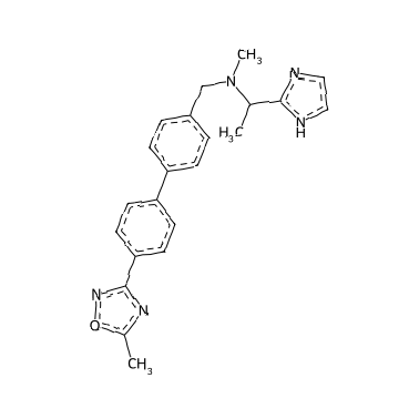 Cc1nc(-c2ccc(-c3ccc(CN(C)C(C)c4ncc[nH]4)cc3)cc2)no1